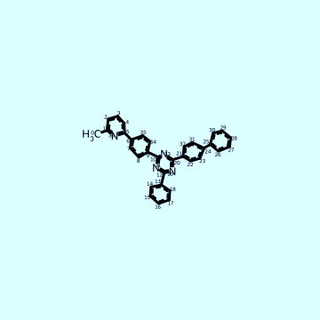 Cc1cccc(-c2ccc(-c3nc(-c4ccccc4)nc(-c4ccc(-c5ccccc5)cc4)n3)cc2)n1